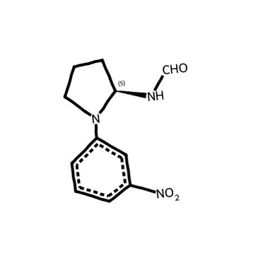 O=CN[C@@H]1CCCN1c1cccc([N+](=O)[O-])c1